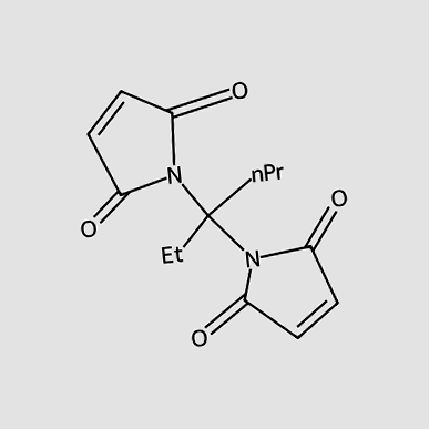 CCCC(CC)(N1C(=O)C=CC1=O)N1C(=O)C=CC1=O